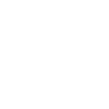 COC(=O)c1c(O[C@H](OCc2ccccc2)C(=O)O)ccc2ccccc12